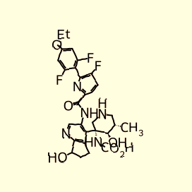 CCOc1cc(F)c(-c2nc(C(=O)Nc3cnc4c(c3[C@@]3(NC(=O)O)CNC[C@H](C)[C@H]3O)CCC4O)ccc2F)c(F)c1